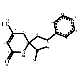 CC(C)C1(CCc2ccncc2)CC(O)=CC(=O)O1